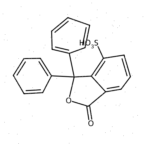 O=C1OC(c2ccccc2)(c2ccccc2)c2c1cccc2S(=O)(=O)O